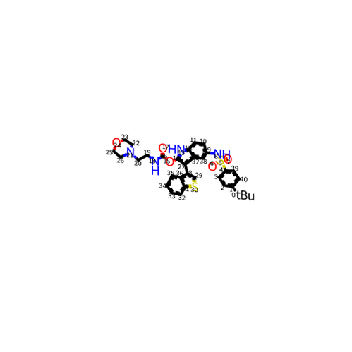 CC(C)(C)c1ccc(S(=O)(=O)Nc2ccc3[nH]c(OC(=O)NCCN4CCOCC4)c(-c4csc5ccccc45)c3c2)cc1